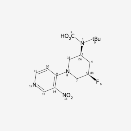 CC(C)(C)N(C(=O)O)[C@H]1C[C@@H](F)CN(c2ccncc2[N+](=O)[O-])C1